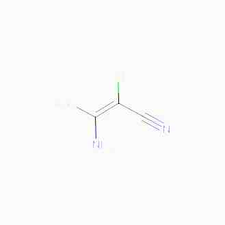 C/C(N)=C(\Cl)C#N